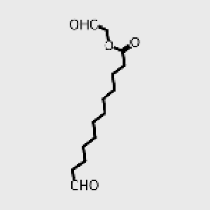 O=CCCCCCCCCCCC(=O)OCC=O